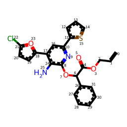 C=CCOC(=O)C(Oc1nc(-c2cccs2)cc(-c2ccc(Cl)o2)c1N)c1ccccc1